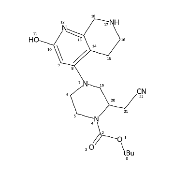 CC(C)(C)OC(=O)N1CCN(c2cc(O)nc3c2CCNC3)CC1CC#N